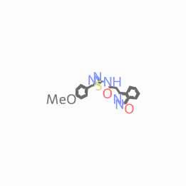 COc1ccc(-c2nnc(NC(=O)Cc3nn(C)c(=O)c4ccccc34)s2)cc1